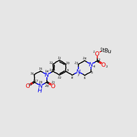 CC(C)(C)OC(=O)N1CCN(Cc2cccc(N3CCC(=O)NC3=O)c2)CC1